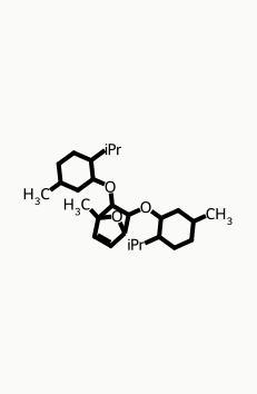 CC1CCC(C(C)C)C(OC2C3C=CC(C)(O3)C2OC2CC(C)CCC2C(C)C)C1